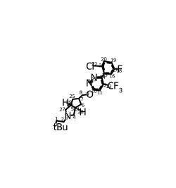 CC(C)(C)CCN1C[C@H]2CC(COc3cc(C(F)(F)F)c(-c4cc(F)ccc4Cl)nn3)C[C@H]2C1